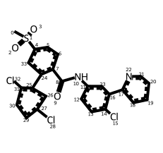 CS(=O)(=O)c1ccc(C(=O)Nc2ccc(Cl)c(-c3ccccn3)c2)c(-c2cc(Cl)ccc2Cl)c1